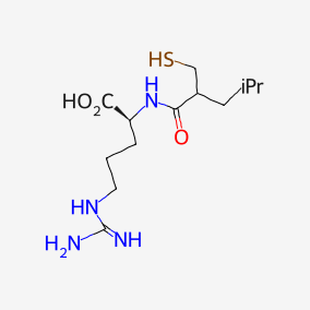 CC(C)CC(CS)C(=O)N[C@@H](CCCNC(=N)N)C(=O)O